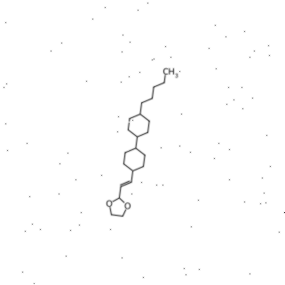 CCCCCC1CCC(C2CCC(/C=C/C3OCCO3)CC2)CC1